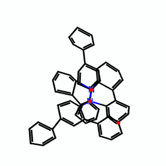 c1ccc(-c2ccc(N(c3ccc(-c4ccccc4)cc3-c3ccccc3)c3ccccc3-c3ccccc3-n3c4ccccc4c4ccccc43)cc2)cc1